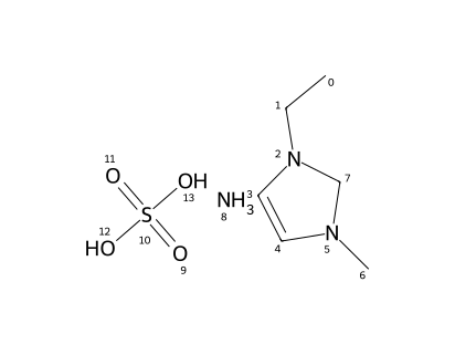 CCN1C=CN(C)C1.N.O=S(=O)(O)O